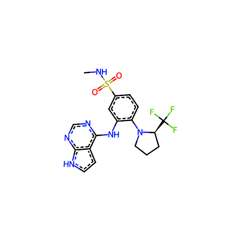 CNS(=O)(=O)c1ccc(N2CCC[C@@H]2C(F)(F)F)c(Nc2ncnc3[nH]ccc23)c1